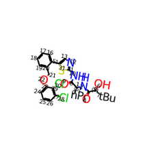 CCC[C@H](NC(=O)[C@@H](O)C(C)(C)C)C(=O)Nc1ncc(-c2ccccc2COc2cccc(Cl)c2Cl)s1